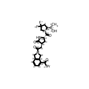 CB(O)[C@@H]1CC(F)(F)CN1C(=O)[C@@H]1C[C@@H](CC(=O)N2Cc3cccc(C(=O)C(C)C)c3C2)C(=O)N1